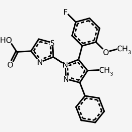 COc1ccc(F)cc1-c1c(C)c(-c2ccccc2)nn1-c1nc(C(=O)O)cs1